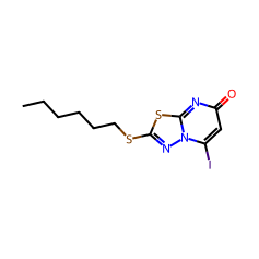 CCCCCCSc1nn2c(I)cc(=O)nc2s1